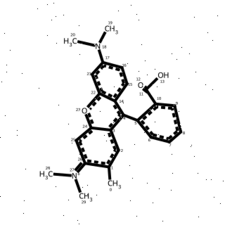 Cc1cc2c(-c3ccccc3C(=O)O)c3ccc(N(C)C)cc3oc-2cc1=[N+](C)C